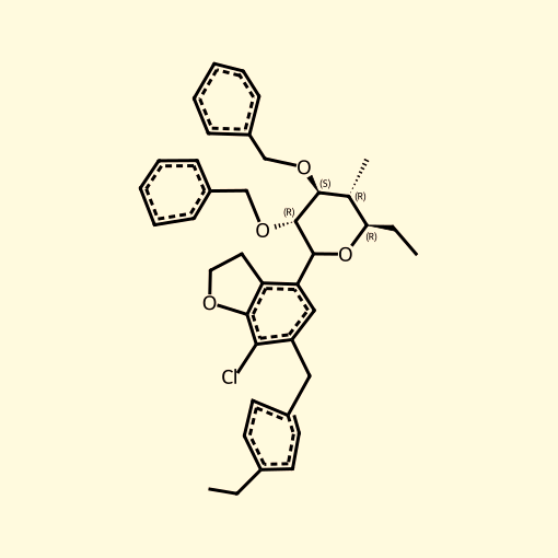 CCc1ccc(Cc2cc(C3O[C@H](CC)[C@@H](C)[C@H](OCc4ccccc4)[C@H]3OCc3ccccc3)c3c(c2Cl)OCC3)cc1